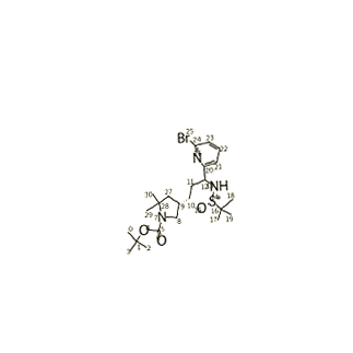 CC(C)(C)OC(=O)N1C[C@@H](CCC(N[S+]([O-])C(C)(C)C)c2cccc(Br)n2)CC1(C)C